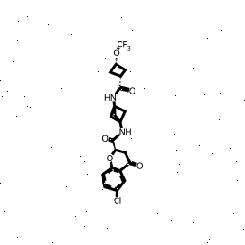 O=C1C[C@H](C(=O)NC23CC(NC(=O)[C@H]4C[C@@H](OC(F)(F)F)C4)(C2)C3)Oc2ccc(Cl)cc21